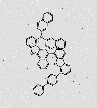 c1ccc(-c2ccc(-c3cccc4c3oc3c(-c5cc6c(oc7cccc(N(c8ccc9ccccc9c8)c8ccc9ccccc9c8)c76)c6ccccc56)cccc34)cc2)cc1